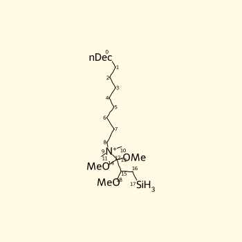 CCCCCCCCCCCCCCCCCC[N+](C)(C)C(OC)(OC)C(C[SiH3])OC